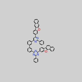 c1ccc(-c2nc(-c3cccc(-c4cccc(-c5nc(-c6ccccc6)nc(-c6ccc7c(c6)oc6c8ccccc8ccc76)n5)c4)c3)cc(-c3ccc4c(c3)oc3cc5ccccc5cc34)n2)cc1